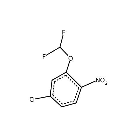 O=[N+]([O-])c1ccc(Cl)cc1OC(F)F